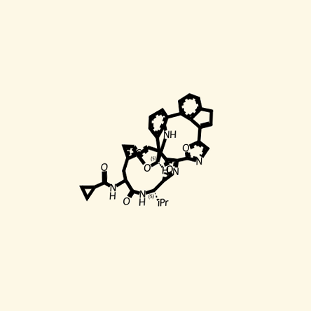 CC(C)[C@@H]1NC(=O)C(NC(=O)C2CC2)Cc2ccc3c(c2)C24c5cccc(c5N[C@H]2O3)-c2cccc3c2C(=CC3)c2cnc(o2)-c2nc1oc24